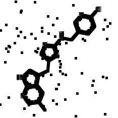 Cc1cnc2[nH]cc(Cc3cnc(NCc4ccc(Cl)nc4)s3)c2c1